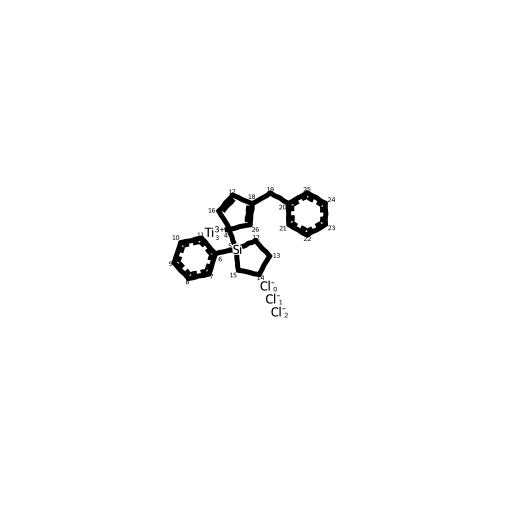 [Cl-].[Cl-].[Cl-].[Ti+3][C]1([Si]2(c3ccccc3)CCCC2)C=CC(Cc2ccccc2)=C1